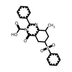 CC1CC(S(=O)(=O)c2ccccc2)Cc2c1nc(-c1ccccc1)n(C(=O)O)c2=O